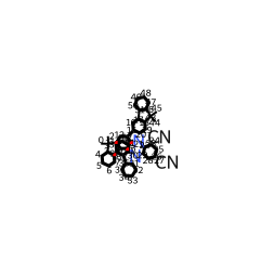 CC1(C)c2ccccc2-c2cc3c(cc21)c1cc2c(cc1n3-c1c(C#N)cc(C#N)cc1-n1c3ccccc3c3ccccc31)C(C)(C)c1ccccc1-2